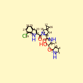 O=C1NCC[C@H]1C[C@@H](CO)NC(=O)[C@@H]1CC2(CC2)CN1C(=O)c1cc2cccc(Cl)c2[nH]1